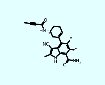 CC#CC(=O)N[C@@H]1CCC=C(c2c(F)c(F)c(C(N)=O)c3[nH]c(C)c(C#N)c23)C1